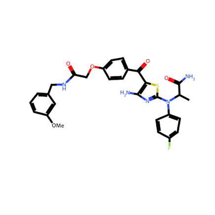 COc1cccc(CNC(=O)COc2ccc(C(=O)c3sc(N(c4ccc(F)cc4)C(C)C(N)=O)nc3N)cc2)c1